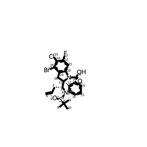 C=CC[C@@H](N[S+]([O-])C(C)(C)C)[C@@]1(c2ccccc2)Cc2c(cc(F)c(Cl)c2Br)N1C(=O)O